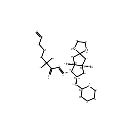 C=CCCCC(C)(C)C(=O)C=C[C@@H]1[C@@H]2CC3(C[C@@H]2C[C@H]1OC1CCCCO1)OCCO3